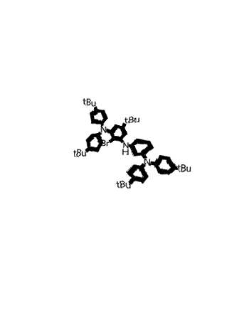 CC(C)(C)c1ccc(N(c2ccc(C(C)(C)C)cc2)c2cccc(Nc3cc(C(C)(C)C)cc(N(c4ccc(C(C)(C)C)cc4)c4ccc(C(C)(C)C)cc4)c3Br)c2)cc1